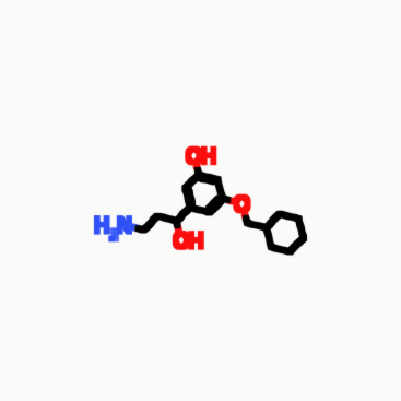 NCCC(O)c1cc(O)cc(OCC2CCCCC2)c1